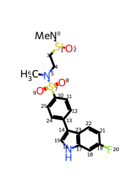 CN[S+]([O-])CCN(C)S(=O)(=O)c1ccc(-c2c[nH]c3cc(F)ccc23)cc1